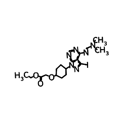 CCOC(=O)COC1CCC(n2nc(I)c3c(N=CN(C)C)ncnc32)CC1